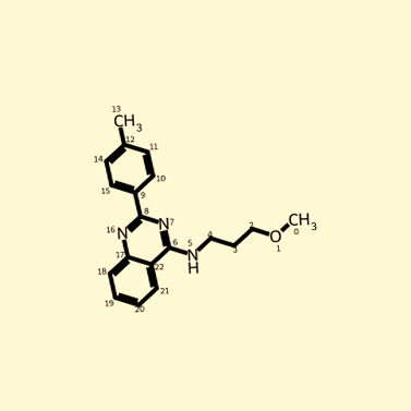 COCCCNc1nc(-c2ccc(C)cc2)nc2ccccc12